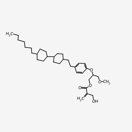 C=C(CO)C(=O)OCC(COC)Oc1ccc(CCC2CCC(C3CCC(CCCCCCC)CC3)CC2)cc1